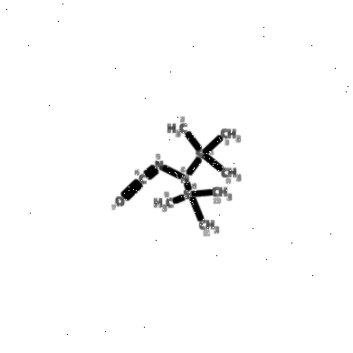 C[Si](C)(C)N(N=C=O)[Si](C)(C)C